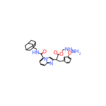 NCOC(=O)C(Cc1cccc(ON)c1)c1cn2c(C(=O)NCC34CC5CC(CC(C5)C3)C4)cccc2n1